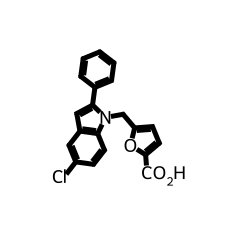 O=C(O)c1ccc(Cn2c(-c3ccccc3)cc3cc(Cl)ccc32)o1